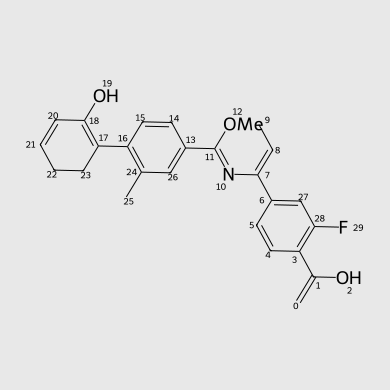 C=C(O)c1ccc(C(=CC)/N=C(\OC)c2ccc(C3=C(O)C=CCC3)c(C)c2)cc1F